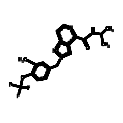 Cc1cc(Cn2cc3c(C(=O)NC(C)C)nccc3n2)ccc1OC(F)(F)F